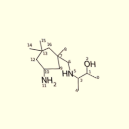 CC(O)C(C)NCC1(C)CC(N)CC(C)(C)C1